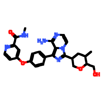 CNC(=O)c1cc(Oc2ccc(-c3nc(C4COC(CO)C(C)C4)n4ccnc(N)c34)cc2)ccn1